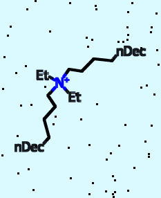 CCCCCCCCCCCCCC[N+](CC)(CC)CCCCCCCCCCCCCC